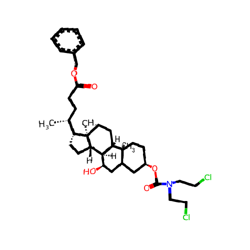 C[C@H](CCC(=O)OCc1ccccc1)[C@H]1CC[C@H]2[C@@H]3[C@H](O)CC4C[C@H](OC(=O)N(CCCl)CCCl)CC[C@]4(C)[C@H]3CC[C@]12C